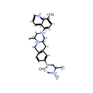 CCC(CN(C=O)c1ccc2c(c1)CC1CN(c3ccc(C#N)c4ncccc34)CC(C)N1C2)N(C)CC